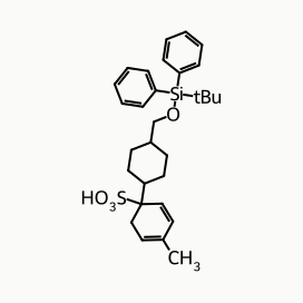 CC1=CCC(C2CCC(CO[Si](c3ccccc3)(c3ccccc3)C(C)(C)C)CC2)(S(=O)(=O)O)C=C1